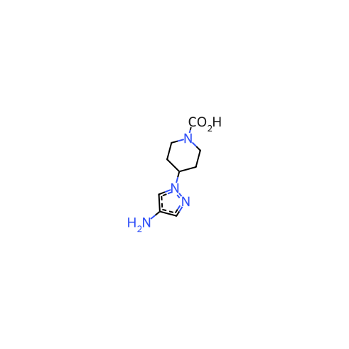 Nc1cnn(C2CCN(C(=O)O)CC2)c1